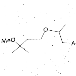 COC(C)(C)CCOC(C)CC(C)=O